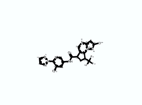 O=C(Nc1cnc(-n2nccn2)c(Cl)c1)C1CC(C(F)(F)F)c2c1cnc1cc(Cl)nn21